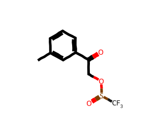 Cc1cccc(C(=O)COS(=O)C(F)(F)F)c1